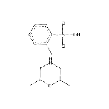 CC1CNCC(C)O1.Cc1ccccc1S(=O)(=O)O